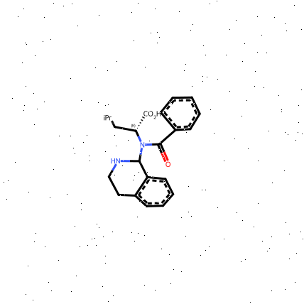 CC(C)C[C@H](C(=O)O)N(C(=O)c1ccccc1)C1NCCc2ccccc21